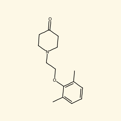 Cc1cccc(C)c1OCCN1CCC(=O)CC1